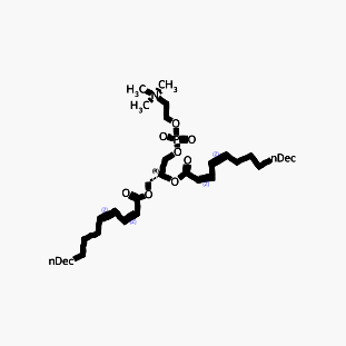 CCCCCCCCCCCCC/C=C\C=C/C(=O)OC[C@H](COP(=O)([O-])OCC[N+](C)(C)C)OC(=O)/C=C\C=C/CCCCCCCCCCCCC